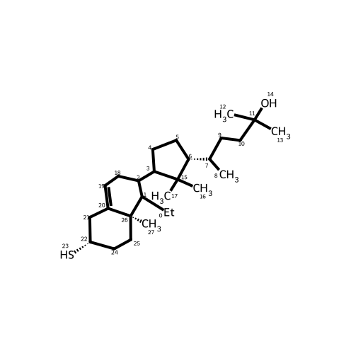 CCC1C(C2CC[C@H](C(C)CCC(C)(C)O)C2(C)C)CC=C2C[C@@H](S)CC[C@@]21C